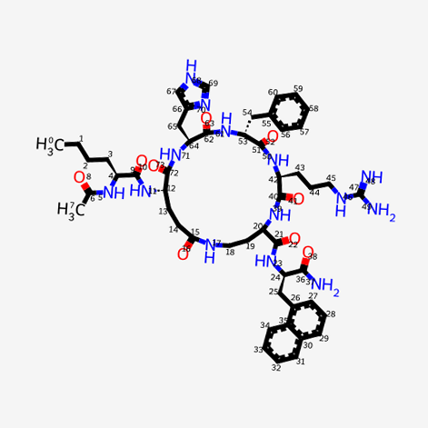 CCCC[C@H](NC(C)=O)C(=O)N[C@H]1CCC(=O)NCCC(C(=O)N[C@H](Cc2cccc3ccccc23)C(N)=O)NC(=O)[C@H](CCCNC(=N)N)NC(=O)[C@@H](Cc2ccccc2)NC(=O)[C@H](Cc2c[nH]cn2)NC1=O